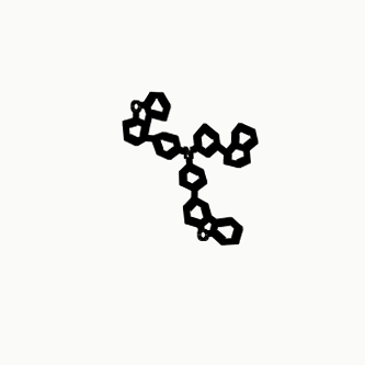 c1cc(-c2cccc3ccccc23)cc(N(c2ccc(-c3ccc4oc5ccccc5c4c3)cc2)c2ccc(-c3cccc4oc5ccccc5c34)cc2)c1